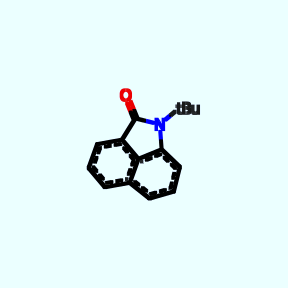 CC(C)(C)N1C(=O)c2cccc3cccc1c23